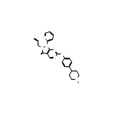 C=CCn1c(=O)c2cnc(Nc3ccc(C4CCN(C(C)C)CC4)cc3)nc2n1-c1ccccn1